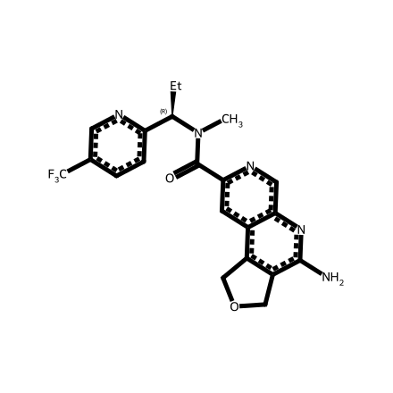 CC[C@H](c1ccc(C(F)(F)F)cn1)N(C)C(=O)c1cc2c3c(c(N)nc2cn1)COC3